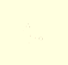 CCCC1O[C@@H]2CC3C4CCC5=CC(=O)C=C[C@]5(C)C4[C@@H](O)C[C@]3(C)[C@]2(C(=O)COC(=O)Cc2cccc(CC)n2)O1